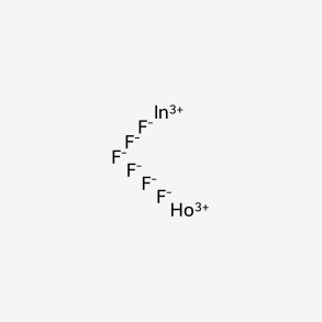 [F-].[F-].[F-].[F-].[F-].[F-].[Ho+3].[In+3]